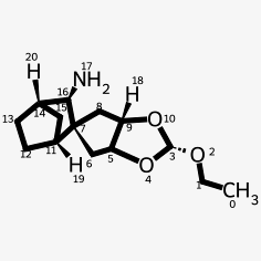 CCO[C@@H]1OC2C[C@@]3(C[C@@H]2O1)[C@@H]1CC[C@@H](C1)[C@H]3N